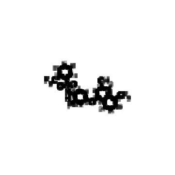 Cc1cc(Oc2ccc(NS(=O)(=O)c3ccccc3C(F)(F)F)c(F)c2)c2cccc(C(F)(F)F)c2n1